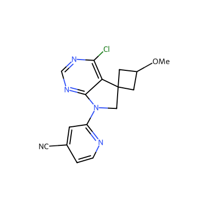 COC1CC2(C1)CN(c1cc(C#N)ccn1)c1ncnc(Cl)c12